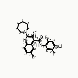 Cc1c(N2CCCCCC2)nc2ccc(Br)cc2c1C(=O)Nc1[c]c(F)c(Cl)cc1F